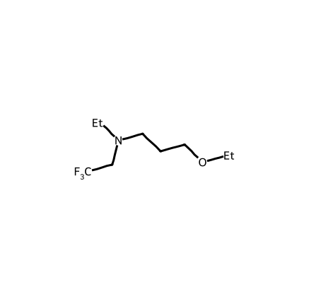 CCOCCCN(CC)CC(F)(F)F